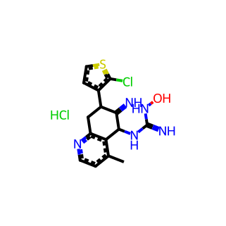 Cc1ccnc2c1C(NC(=N)NO)C(=N)C(c1ccsc1Cl)C2.Cl